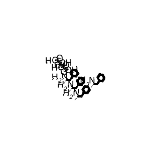 C[C@H](N)Cc1ccccc1.C[C@H](N)Cc1ccccc1.C[C@H](N)Cc1ccccc1.C[C@H](N)Cc1ccccc1.O=S(=O)(O)O.O=S(=O)(O)O